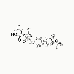 CC(C)CC(C(=O)O)N1C(=O)C(=Cc2ccc(-c3ccc(OC(C)C)c(Cl)c3)cc2)SC1=S